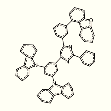 c1ccc(-c2nc(-c3cccc(-c4cccc5oc6ccccc6c45)c3)cc(-c3cc(-n4c5ccccc5c5ccccc54)cc(-n4c5ccccc5c5ccccc54)c3)n2)cc1